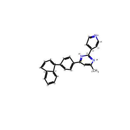 Cc1cc(-c2ccc(-c3cccc4ccccc34)cc2)nc(-c2ccncc2)n1